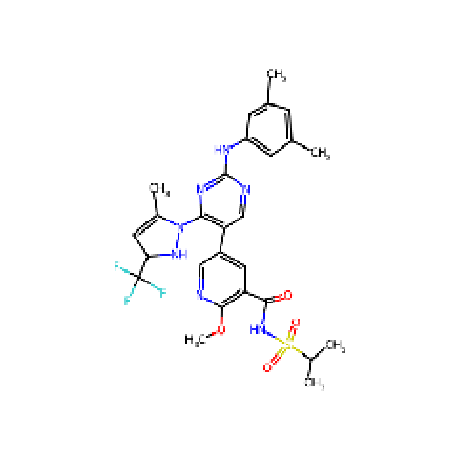 COc1ncc(-c2cnc(Nc3cc(C)cc(C)c3)nc2N2NC(C(F)(F)F)C=C2C)cc1C(=O)NS(=O)(=O)C(C)C